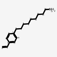 C=Cc1ccc(CCCCCCCCCN)cc1